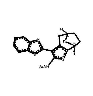 CC(=O)Nc1sc2c(c1-c1nc3ccccc3s1)C[C@@H]1CC[C@H]2N1